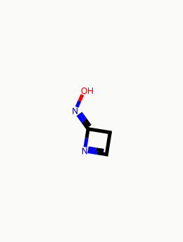 ON=C1CC=N1